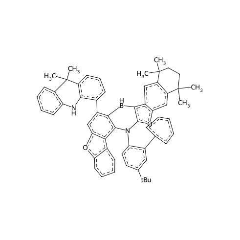 CC(C)(C)c1ccc(N2c3oc4cc5c(cc4c3Bc3c(-c4cccc6c4Nc4ccccc4C6(C)C)cc4oc6ccccc6c4c32)C(C)(C)CCC5(C)C)c(-c2ccccc2)c1